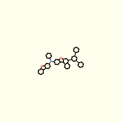 c1ccc(-c2cc(-c3ccccc3)cc(-c3cc4oc5cc(N(c6ccccc6)c6ccc7c(c6)oc6ccccc67)ccc5c4c4ccccc34)c2)cc1